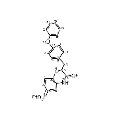 CCOC(=O)c1ccc2c(c1)NC(=O)C(Cc1ccc(Oc3ccccc3)cc1)S2